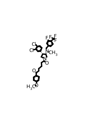 COc1ccc(C(=O)CCCCC(=O)N2C[C@H](c3ccc(Cl)c(Cl)c3)[C@H](N(C)Cc3ccc(C(F)(F)F)c(F)c3)C2)cc1